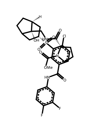 COC(=O)N1CCC[C@H]1C(=O)NC[C@@]1(O)C2CC[C@H]1C[C@H](S(=O)(=O)c1cc(C(=O)Nc3ccc(F)c(F)c3)ccc1Cl)C2